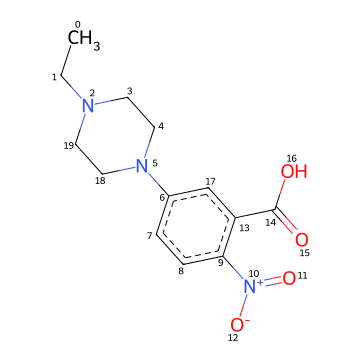 CCN1CCN(c2ccc([N+](=O)[O-])c(C(=O)O)c2)CC1